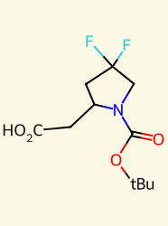 CC(C)(C)OC(=O)N1CC(F)(F)CC1CC(=O)O